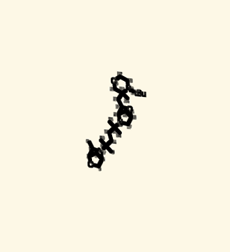 CC1C2CC(CO2)N1C(C)(C)CCC(C)(C)N1CC2CC1C(CC1(C)COCCN1C(C)(C)C)O2